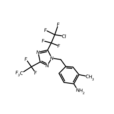 Cc1cc(Cn2nc(C(F)(F)C(F)(F)F)nc2C(F)(F)C(F)(F)Cl)ccc1N